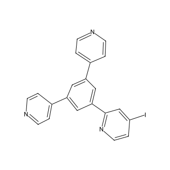 Ic1ccnc(-c2cc(-c3ccncc3)cc(-c3ccncc3)c2)c1